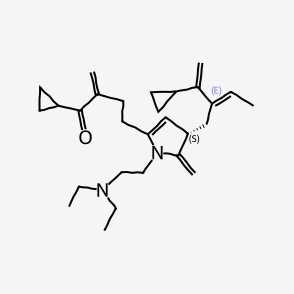 C=C(CCC1=C[C@H](C/C(=C\C)C(=C)C2CC2)C(=C)N1CCN(CC)CC)C(=O)C1CC1